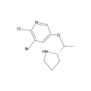 CC(Oc1cnc(Cl)c(Br)c1)[C@@H]1CCCN1